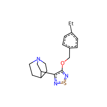 CCc1ccc(COc2nsnc2C2CN3CCC2CC3)cc1